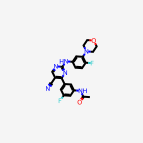 CC(=O)Nc1cc(F)cc(-c2nc(Nc3ccc(F)c(N4CCOCC4)c3)ncc2C#N)c1